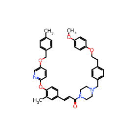 COc1ccc(OCCc2ccc(CN3CCN(C(=O)/C=C/c4ccc(Oc5ccc(OCc6ccc(C)cc6)cn5)c(C)c4)CC3)cc2)cc1